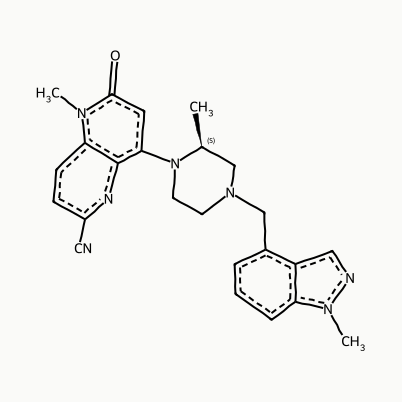 C[C@H]1CN(Cc2cccc3c2cnn3C)CCN1c1cc(=O)n(C)c2ccc(C#N)nc12